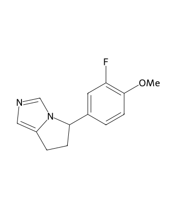 COc1ccc(C2CCc3cncn32)cc1F